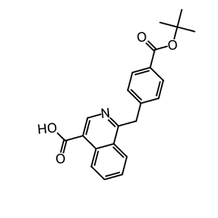 CC(C)(C)OC(=O)c1ccc(Cc2ncc(C(=O)O)c3ccccc23)cc1